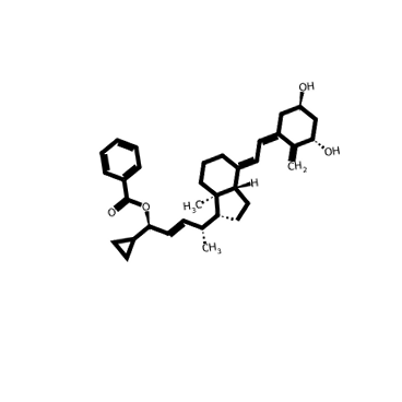 C=C1/C(=C\C=C2/CCC[C@]3(C)[C@@H]([C@H](C)/C=C/[C@H](OC(=O)c4ccccc4)C4CC4)CC[C@@H]23)C[C@@H](O)C[C@@H]1O